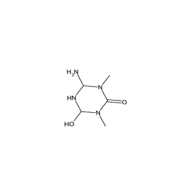 CN1C(=O)N(C)C(O)NC1N